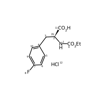 CCOC(=O)N[C@@H](Cc1ccc(F)cc1)C(=O)O.Cl